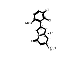 COc1ccc(Cl)c(Cl)c1[C@H]1C[C@H]2CC(C(=O)O)=CC(=O)N2C1